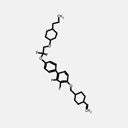 C=CC1CCC(COc2ccc(-c3ccc(OC(F)(F)COC4CCC(CCC)CC4)cc3)c(F)c2F)CC1